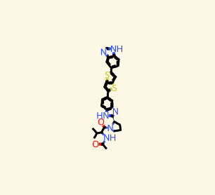 CC(=O)NC(C(=O)N1CCC[C@H]1c1nc2cc(-c3cc4sc(-c5ccc6[nH]cnc6c5)cc4s3)ccc2[nH]1)C(C)C